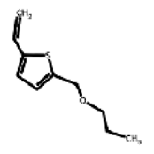 C=Cc1ccc(COCCC)s1